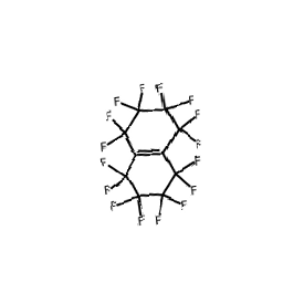 FC1(F)C2=C(C(F)(F)C(F)(F)C1(F)F)C(F)(F)C(F)(F)C(F)(F)C2(F)F